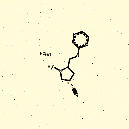 CN1C[C@@H](C#N)CC1COc1cccnc1.Cl.Cl